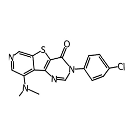 CN(C)c1cncc2sc3c(=O)n(-c4ccc(Cl)cc4)cnc3c12